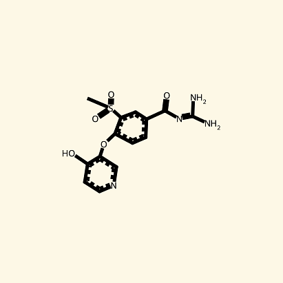 CS(=O)(=O)c1cc(C(=O)N=C(N)N)ccc1Oc1cnccc1O